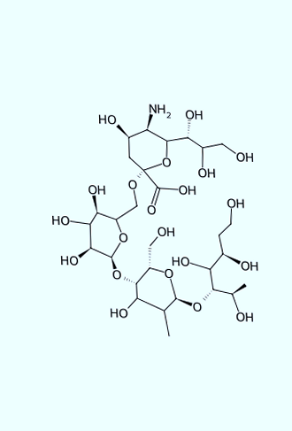 CC1C(O)[C@H](O[C@@H]2OC(CO[C@]3(C(=O)O)C[C@@H](O)[C@@H](N)C([C@H](O)C(O)CO)O3)[C@H](O)C(O)[C@@H]2O)[C@H](CO)O[C@H]1O[C@H](C(O)[C@H](O)CCO)[C@@H](C)O